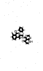 Cc1c([C@H](C)Nc2ncnc3[nH]ccc(=O)c23)n(-c2ccccc2)c(=O)c2c(C)cccc12